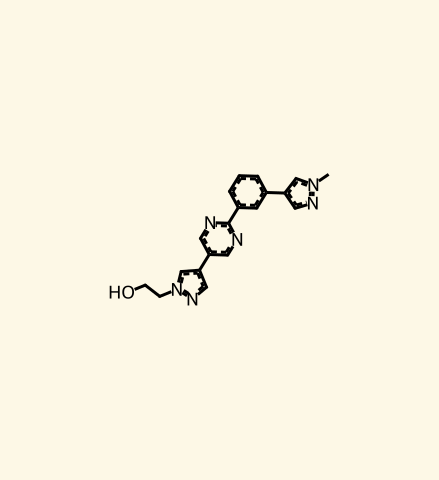 Cn1cc(-c2cccc(-c3ncc(-c4cnn(CCO)c4)cn3)c2)cn1